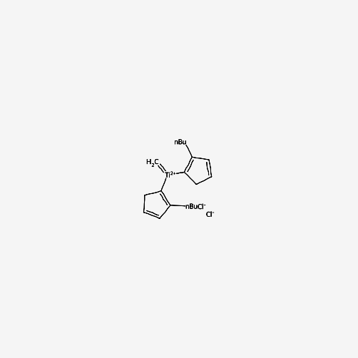 [CH2]=[Ti+2]([C]1=C(CCCC)C=CC1)[C]1=C(CCCC)C=CC1.[Cl-].[Cl-]